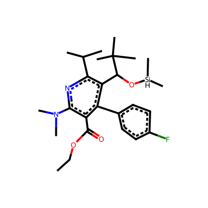 CCOC(=O)c1c(N(C)C)nc(C(C)C)c(C(O[SiH](C)C)C(C)(C)C)c1-c1ccc(F)cc1